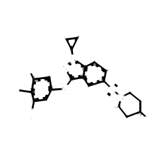 O=S(=O)(c1ccc2c(c1)c(Nc1cc(F)c(F)c(F)c1)nn2C1CC1)N1CCC(F)CC1